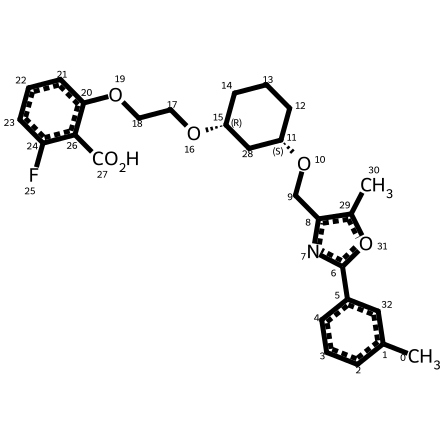 Cc1cccc(-c2nc(CO[C@H]3CCC[C@@H](OCCOc4cccc(F)c4C(=O)O)C3)c(C)o2)c1